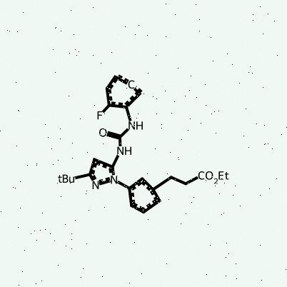 CCOC(=O)CCc1cccc(-n2nc(C(C)(C)C)cc2NC(=O)Nc2ccccc2F)c1